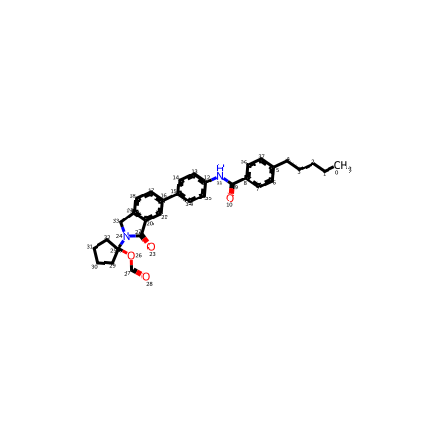 CCCCCc1ccc(C(=O)Nc2ccc(-c3ccc4c(c3)C(=O)N(C3(OC=O)CCCC3)C4)cc2)cc1